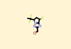 CC(F)(F)C1CC(F)c2nc(C=O)nn21